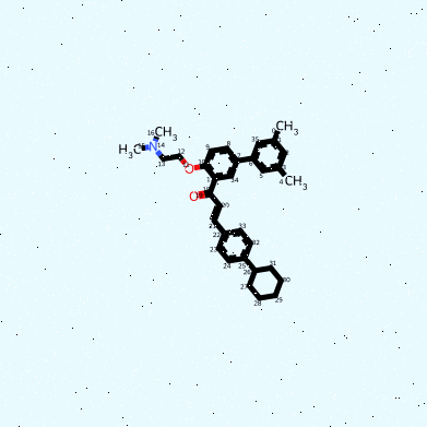 Cc1cc(C)cc(-c2ccc(OCCN(C)C)c(C(=O)C=Cc3ccc(C4CCCCC4)cc3)c2)c1